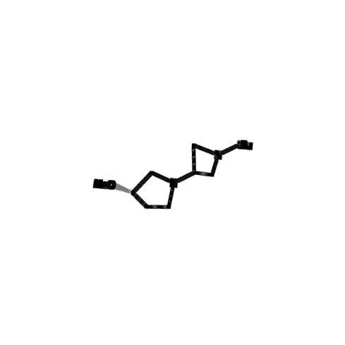 CO[C@H]1CCN(C2CN(C(C)(C)C)C2)C1